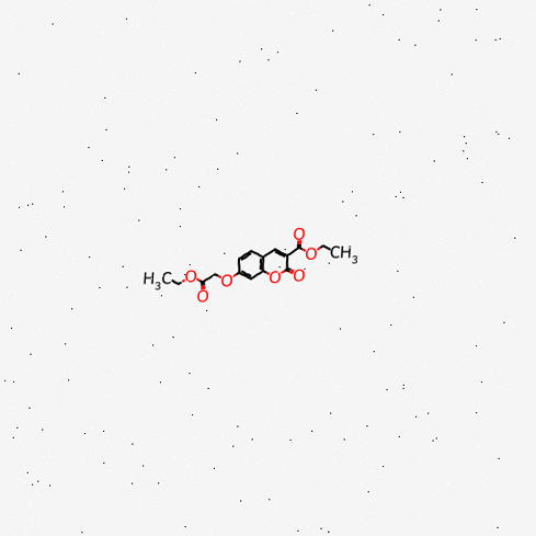 CCOC(=O)COc1ccc2cc(C(=O)OCC)c(=O)oc2c1